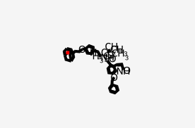 CC(C)(C)[Si](C)(C)O[C@@H](CNCCc1ccc(OCCC23CC4CC(CC(C4)C2)C3)cc1)c1ccc(OCc2ccccc2)c2[nH]c(=O)ccc12